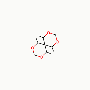 CC1OCOC(C)C12C(C)OCOC2C